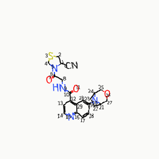 N#CC1CSCN1C(=O)CNC(=O)c1ccnc2ccc(N3C4CCC3COC4)cc12